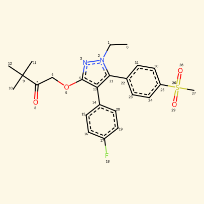 CCn1nc(OCC(=O)C(C)(C)C)c(-c2ccc(F)cc2)c1-c1ccc(S(C)(=O)=O)cc1